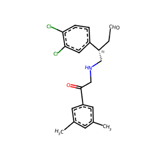 Cc1cc(C)cc(C(=O)CNC[C@@H](CC=O)c2ccc(Cl)c(Cl)c2)c1